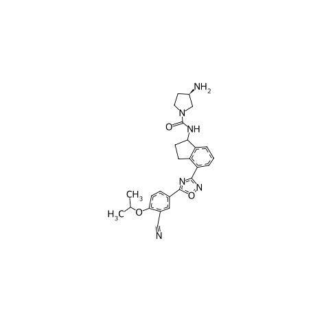 CC(C)Oc1ccc(-c2nc(-c3cccc4c3CCC4NC(=O)N3CC[C@@H](N)C3)no2)cc1C#N